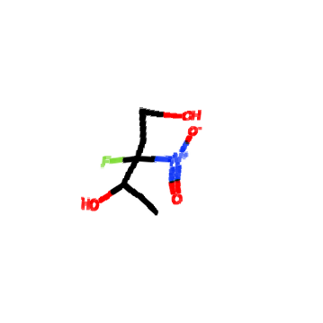 CC(O)C(F)(CO)[N+](=O)[O-]